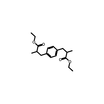 CCOC(=O)C(C)Cc1ccc(CC(C)C(=O)OCC)cc1